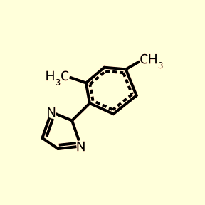 Cc1ccc(C2N=CC=N2)c(C)c1